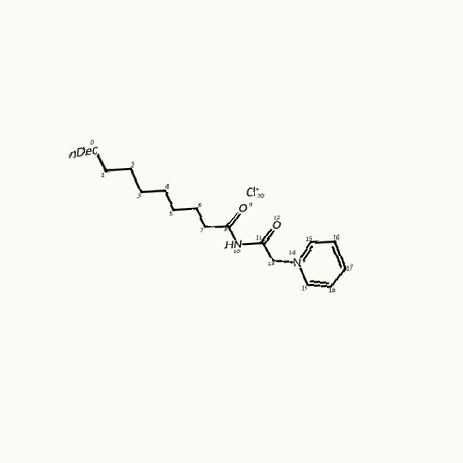 CCCCCCCCCCCCCCCCCC(=O)NC(=O)C[n+]1ccccc1.[Cl-]